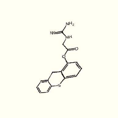 N=C(N)NCC(=O)Oc1cccc2c1Cc1ccccc1S2